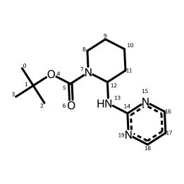 CC(C)(C)OC(=O)N1CCCCC1Nc1ncccn1